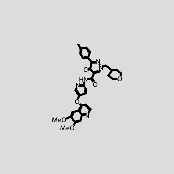 COc1cc2nccc(Oc3ccc(NC(=O)c4cn(CC5CCOCC5)nc(-c5ccc(C)cc5)c4=O)nc3)c2cc1OC